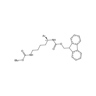 CC(=O)[C@H](CCCCNC(=O)OC(C)(C)C)NC(=O)OCC1c2ccccc2-c2ccccc21